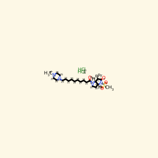 CCC[C@H]1C(=O)N(S(C)(=O)=O)[C@H]2CCN(C(=O)CCCCCCCCCN3CCN(C)CC3)[C@H]12.Cl.Cl